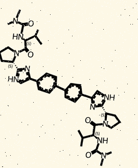 CC(C)[C@H](NC(=O)N(C)C)C(=O)N1CCC[C@H]1c1nc(-c2ccc(-c3ccc(-c4c[nH]c([C@@H]5CCCN5C(=O)[C@@H](NC(=O)N(C)C)C(C)C)n4)cc3)cc2)c[nH]1